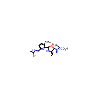 C/C=C(\NC(=O)c1nc(CNC(C)S)ccc1SC)C(O)N[C@H](C(=O)O)C(C)C